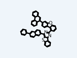 c1ccc(-c2ccc3cc(-c4nc(-c5cccc6oc7cc(-c8cc9ccccc9c9ccccc89)ccc7c56)nc5c4sc4ccccc45)ccc3c2)cc1